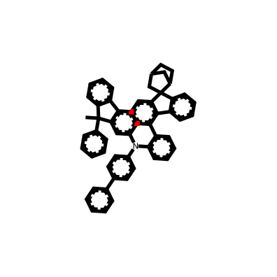 CC1(c2ccccc2)c2ccccc2-c2ccc(N(c3ccc(-c4ccccc4)cc3)c3ccccc3-c3cccc4c3-c3ccccc3C43CC4CCC3C4)cc21